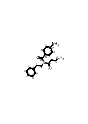 CCCC(=O)N(CCc1ccccc1)C(=O)c1ccc(N)cc1